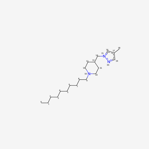 CCCCCCCCCCN1CCC(Cn2cc(C)cn2)CC1